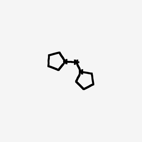 C1CCN([N]N2CCCC2)C1